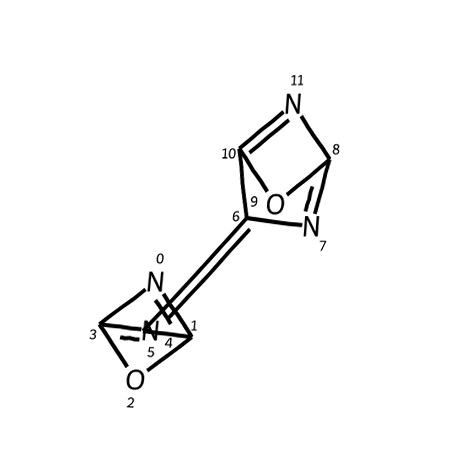 N1=c2oc1nc2=c1nc2oc1=N2